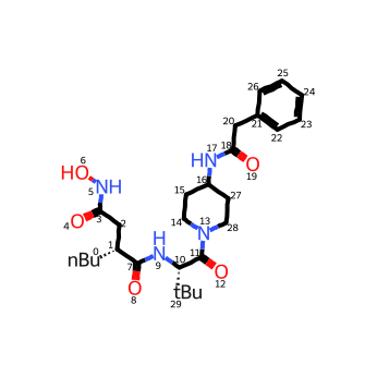 CCCC[C@H](CC(=O)NO)C(=O)N[C@H](C(=O)N1CCC(NC(=O)Cc2ccccc2)CC1)C(C)(C)C